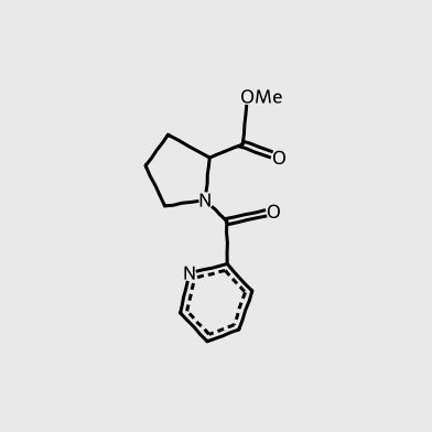 COC(=O)C1CCCN1C(=O)c1ccccn1